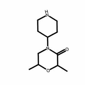 CC1CN(C2CCNCC2)C(=O)C(C)O1